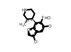 C[C@H]1CNCC[C@H]1c1c(F)c(Cl)cc2c(Cl)coc12.Cl